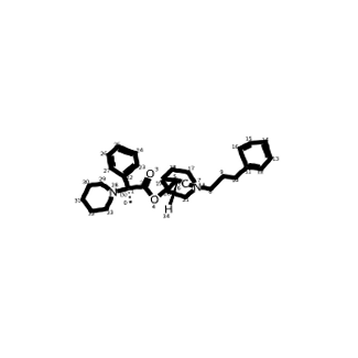 C[C@@](C(=O)O[C@H]1C[N+]2(CCCc3ccccc3)CCC1CC2)(c1ccccc1)N1CCCCC1